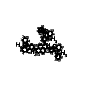 CC12CCCCC1(C)c1cc(-c3ccc4ccc5c(-c6ccc7c(c6)C6(C)CCCCC6(C)B7c6ccccc6)cc(-c6ccc7c(c6)C6(C)CCCCC6(C)B7c6ccccc6)c6ccc3c4c56)ccc1B2c1ccccc1